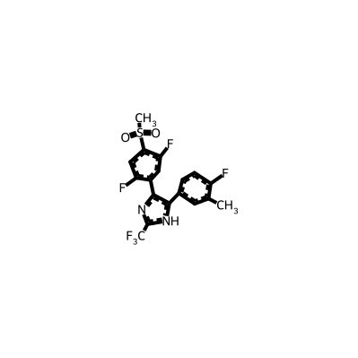 Cc1cc(-c2[nH]c(C(F)(F)F)nc2-c2cc(F)c(S(C)(=O)=O)cc2F)ccc1F